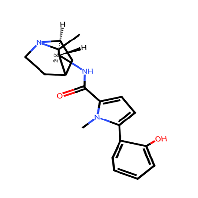 C[C@H]1[C@H](NC(=O)c2ccc(-c3ccccc3O)n2C)C2CCN1CC2